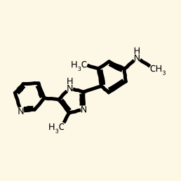 CNc1ccc(-c2nc(C)c(-c3cccnc3)[nH]2)c(C)c1